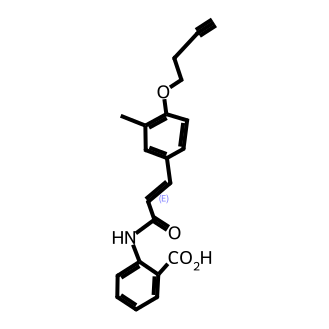 C#CCCOc1ccc(/C=C/C(=O)Nc2ccccc2C(=O)O)cc1C